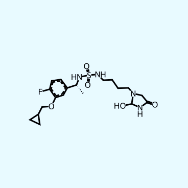 C[C@@H](NS(=O)(=O)NCCCCN1CC(=O)NC1O)c1ccc(F)c(OCC2CC2)c1